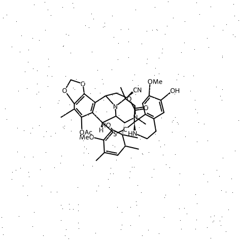 COC1=C(O)C(C)([C@@H]2C3[C@@H]4SC[C@]5(NCCc6cc(O)c(OC)cc65)C(=O)OCC(c5c6c(c(C)c(OC(C)=O)c54)OCO6)N3[C@@](C)(C#N)CN2C)C(C)C=C1C